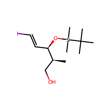 C[C@@H](CO)[C@@H](/C=C/I)O[Si](C)(C)C(C)(C)C